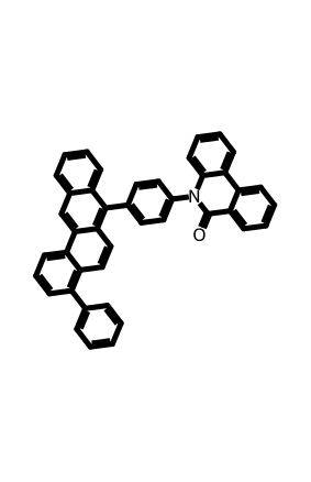 O=c1c2ccccc2c2ccccc2n1-c1ccc(-c2c3ccccc3cc3c2ccc2c(-c4ccccc4)cccc23)cc1